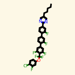 CCCCCc1cnc(-c2ccc(-c3ccc(-c4cc(F)c(C(F)(F)Oc5ccc(Cl)c(F)c5)c(F)c4)c(F)c3)c(F)c2)nc1